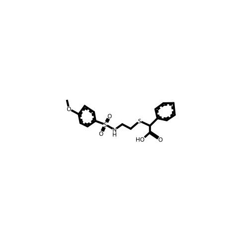 COc1ccc(S(=O)(=O)NCCSC(C(=O)O)c2ccccc2)cc1